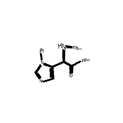 CC(C)n1cncc1C(NC(C)(C)C)C(=O)C(C)(C)C